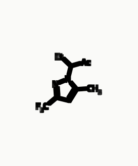 CCC(C(C)=O)n1nc(C(F)(F)F)cc1C